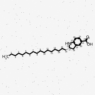 CCCCCCCCCCCCCCCCC[C@H]1Cc2cc(C(=O)O)ccc2N1